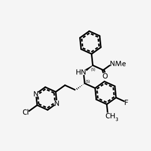 CNC(=O)[C@@H](N[C@@H](CCc1cnc(Cl)cn1)c1ccc(F)c(C)c1)c1ccccc1